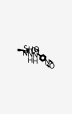 C#Cc1nc(NC(=O)N[C@@H](CO)c2ccc(N3CCOCC3)cc2)cs1